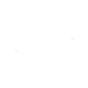 NC(=O)CC1CC1C(N)=O